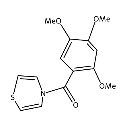 COc1cc(OC)c(C(=O)N2C=CSC=C2)cc1OC